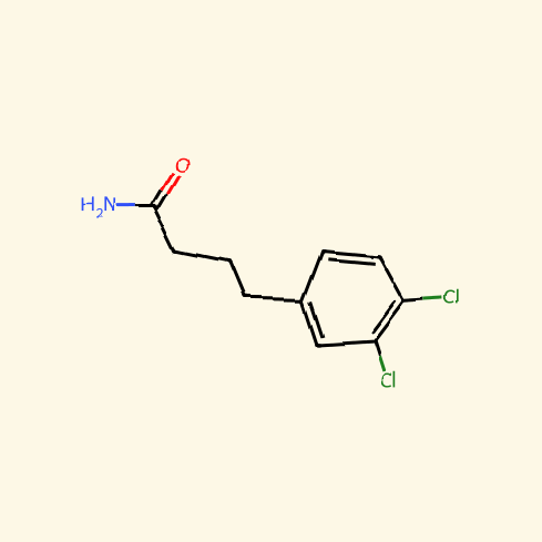 NC(=O)CCCc1ccc(Cl)c(Cl)c1